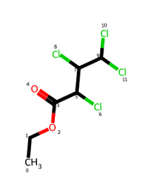 CCOC(=O)C(Cl)C(Cl)C(Cl)Cl